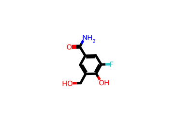 NC(=O)c1cc(F)c(O)c(CO)c1